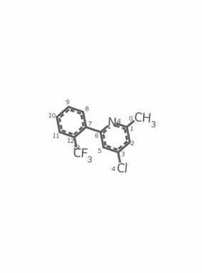 Cc1cc(Cl)cc(-c2ccccc2C(F)(F)F)n1